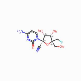 N#C[C@@]1(n2ccc(N)nc2=O)O[C@@](CO)(CF)[C@@H](O)[C@H]1O